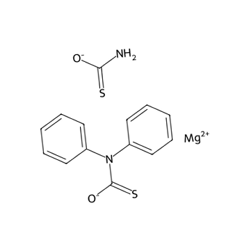 NC([O-])=S.[Mg+2].[O-]C(=S)N(c1ccccc1)c1ccccc1